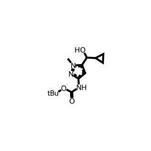 Cn1nc(NC(=O)OC(C)(C)C)cc1C(O)C1CC1